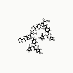 CCC(CC)N1CCC2(CC1)C[C@@H](C(=O)O)N(Cc1ccc(CN(Cc3ncc[nH]3)Cc3ncc[nH]3)cc1)C2.CCC(CC)N1CCC2(CC1)C[C@@H](C(=O)O)N(Cc1ccc(CN(Cc3ncc[nH]3)Cc3ncc[nH]3)cc1)C2.[Ca]